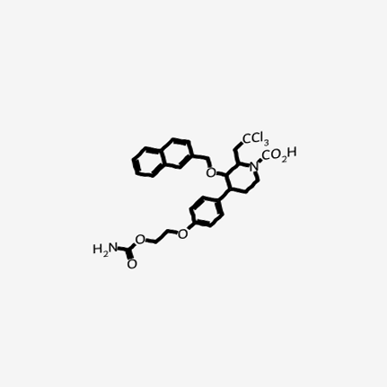 NC(=O)OCCOc1ccc(C2CCN(C(=O)O)C(CC(Cl)(Cl)Cl)C2OCc2ccc3ccccc3c2)cc1